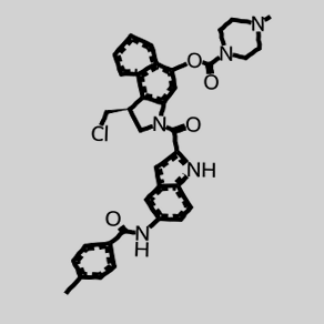 Cc1ccc(C(=O)Nc2ccc3[nH]c(C(=O)N4C[C@@H](CCl)c5c4cc(OC(=O)N4CCN(C)CC4)c4ccccc54)cc3c2)cc1